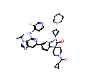 CC(C)n1cnc2cc(-c3ccc4c(c3)N([C@H]3C[C@@H](N5CCCCC5)C3)C(=O)C43CCN(C(=O)C4CC4)CC3)nc(Nc3ccncc3F)c21